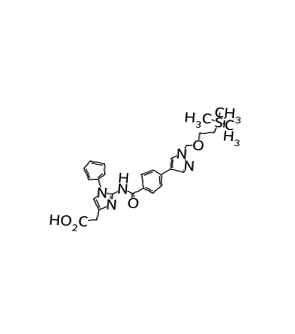 C[Si](C)(C)CCOCn1cc(-c2ccc(C(=O)Nc3nc(CC(=O)O)cn3-c3ccccc3)cc2)cn1